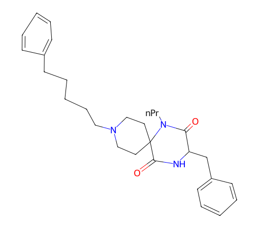 CCCN1C(=O)C(Cc2ccccc2)NC(=O)C12CCN(CCCCCc1ccccc1)CC2